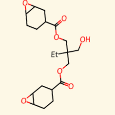 CCC(CO)(COC(=O)C1CCC2OC2C1)COC(=O)C1CCC2OC2C1